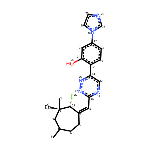 CC[C@]1(C)CC(C)CC/C(=C/c2ncc(-c3ccc(-n4ccnc4)cc3O)nn2)[C@H]1F